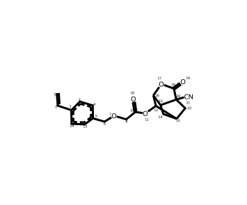 C=Cc1ccc(COCC(=O)OC2C3CC4C2OC(=O)C4(C#N)C3)cc1